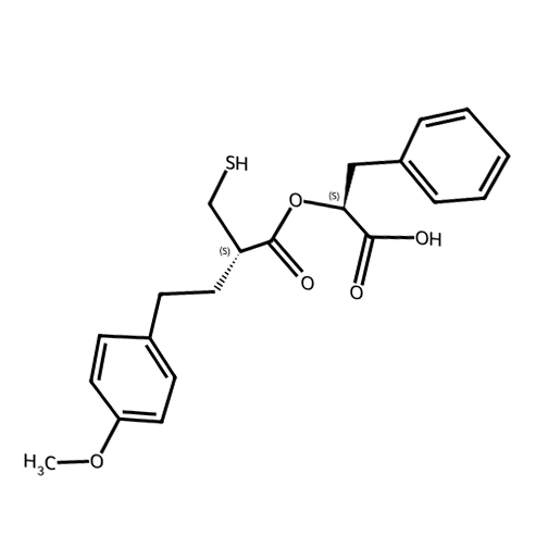 COc1ccc(CC[C@H](CS)C(=O)O[C@@H](Cc2ccccc2)C(=O)O)cc1